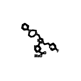 COC(=O)c1ccnc(-c2nc(CN3CCCN(c4ccccc4)CC3)cn2CCc2ccc(F)cc2)c1